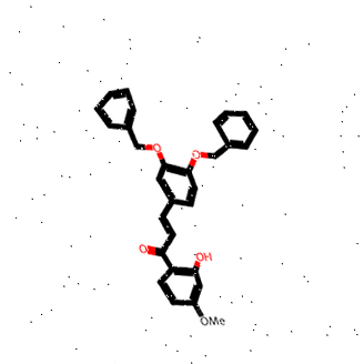 COc1ccc(C(=O)/C=C/c2ccc(OCc3ccccc3)c(OCc3ccccc3)c2)c(O)c1